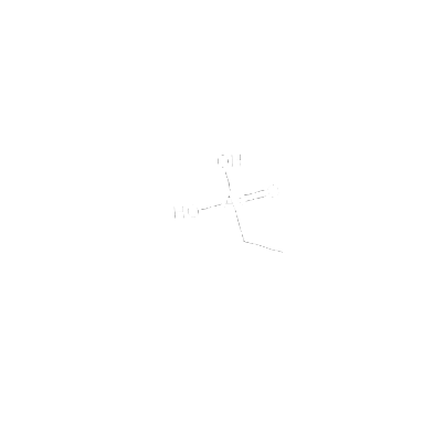 CC[As](=O)(O)O